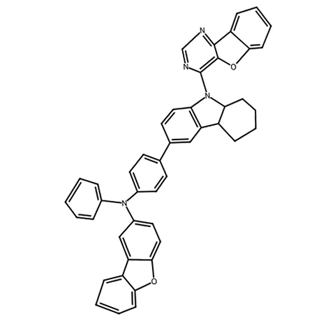 c1ccc(N(c2ccc(-c3ccc4c(c3)C3CCCCC3N4c3ncnc4c3oc3ccccc34)cc2)c2ccc3oc4ccccc4c3c2)cc1